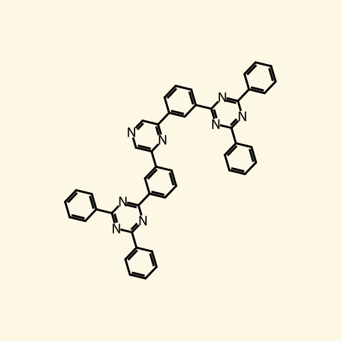 c1ccc(-c2nc(-c3ccccc3)nc(-c3cccc(-c4cncc(-c5cccc(-c6nc(-c7ccccc7)nc(-c7ccccc7)n6)c5)n4)c3)n2)cc1